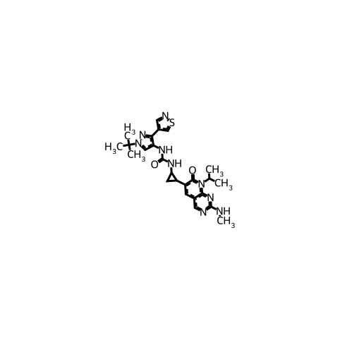 CNc1ncc2cc(C3CC3NC(=O)Nc3cn(C(C)(C)C)nc3-c3cnsc3)c(=O)n(C(C)C)c2n1